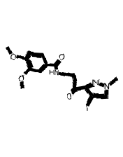 COc1ccc(C(=O)NCC(=O)c2nn(C)cc2I)cc1OC